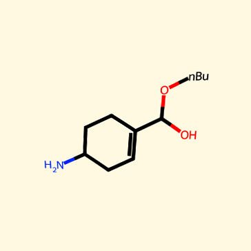 CCCCOC(O)C1=CCC(N)CC1